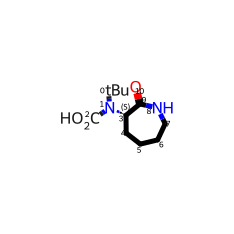 CC(C)(C)N(C(=O)O)[C@H]1CCCCNC1=O